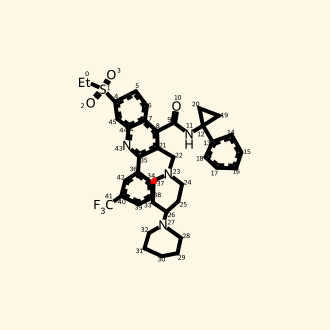 CCS(=O)(=O)c1ccc2c(C(=O)NC3(c4ccccc4)CC3)c(CN3CCC(N4CCCCC4)CC3)c(-c3cccc(C(F)(F)F)c3)nc2c1